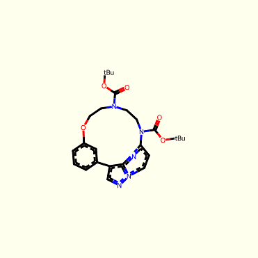 CC(C)(C)OC(=O)N1CCOc2cccc(c2)-c2cnn3ccc(nc23)N(C(=O)OC(C)(C)C)CC1